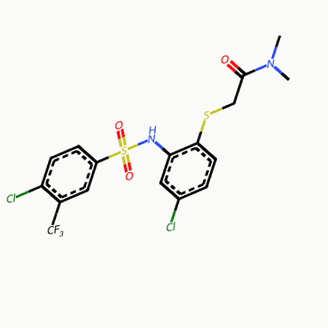 CN(C)C(=O)CSc1ccc(Cl)cc1NS(=O)(=O)c1ccc(Cl)c(C(F)(F)F)c1